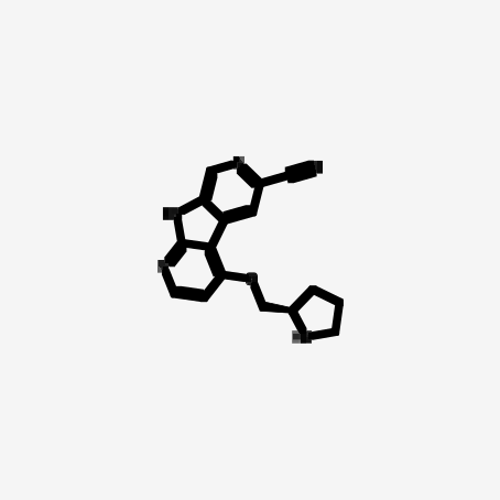 N#Cc1cc2c(cn1)[nH]c1nccc(OC[C@H]3CCCN3)c12